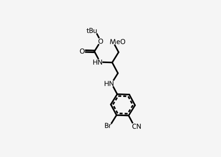 COCC(CNc1ccc(C#N)c(Br)c1)NC(=O)OC(C)(C)C